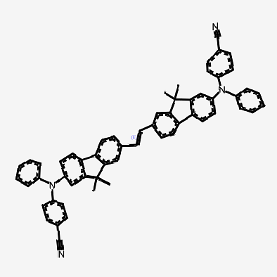 CC1(C)c2cc(/C=C/c3ccc4c(c3)C(C)(C)c3cc(N(c5ccccc5)c5ccc(C#N)cc5)ccc3-4)ccc2-c2ccc(N(c3ccccc3)c3ccc(C#N)cc3)cc21